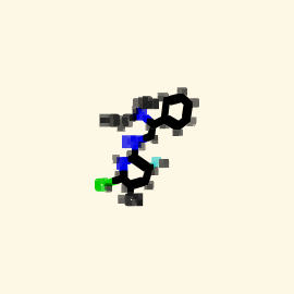 CC(C)(C)N(C(=O)O)[C@H](CNc1nc(Cl)c(C#N)cc1F)c1ccccc1